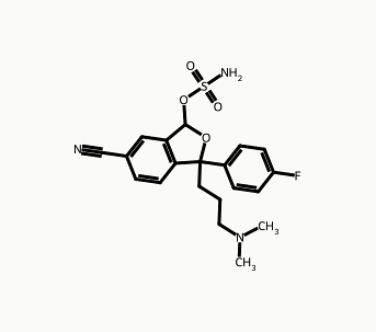 CN(C)CCCC1(c2ccc(F)cc2)OC(OS(N)(=O)=O)c2cc(C#N)ccc21